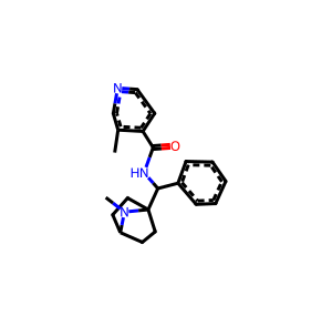 Cc1cnccc1C(=O)NC(c1ccccc1)C12CCC(CC1)N2C